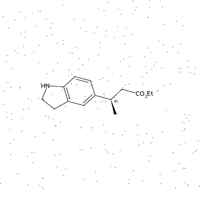 CCOC(=O)C[C@@H](C)c1ccc2c(c1)CCN2